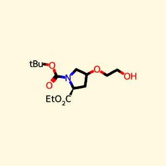 CCOC(=O)[C@@H]1CC(OCCO)CN1C(=O)OC(C)(C)C